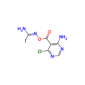 N/C(I)=N/OC(=O)c1c(N)ncnc1Cl